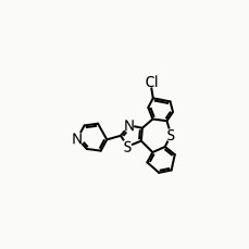 Clc1ccc2c(c1)-c1nc(-c3ccncc3)sc1-c1ccccc1S2